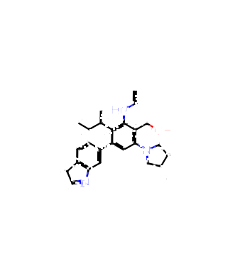 C=CNc1c(CO)c(N2CC[C@H](C)C2)cc(-c2ccc3c(c2)N=CC3)c1C(C)CC